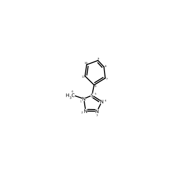 CN1N=NN=S1c1ccccc1